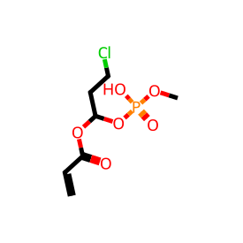 C=CC(=O)OC(CCCl)OP(=O)(O)OC